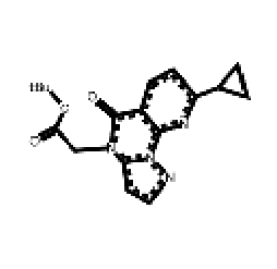 CC(C)(C)OC(=O)Cn1c(=O)c2ccc(C3CC3)nc2n2nccc12